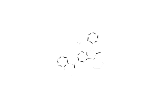 N#Cc1ccccc1N1C(=O)C2(OCCCO2)c2cc(C(=O)c3ccccc3C(F)(F)F)ccc21